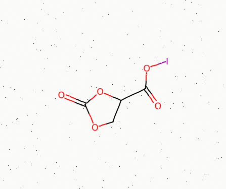 O=C1OCC(C(=O)OI)O1